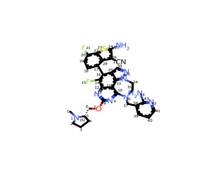 CN1CCC[C@H]1COc1nc2c3c(n1)c(F)c(-c1ccc(F)c4sc(N)c(C#N)c14)c1cnn(c13)CCN2Cc1cccnc1N